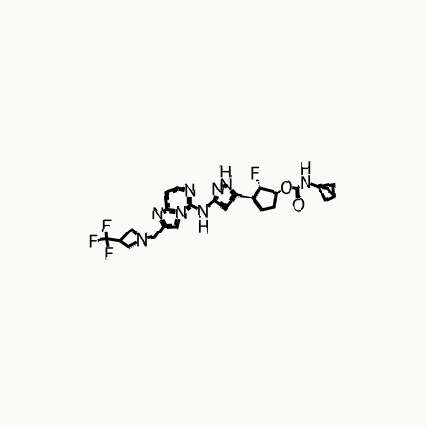 O=C(NC12CC(C1)C2)O[C@H]1CC[C@@H](c2cc(Nc3nccc4nc(CN5CC(C(F)(F)F)C5)cn34)n[nH]2)[C@@H]1F